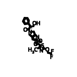 Cc1nc(OCC(F)F)sc1S(=O)(=O)n1cc2c(n1)CN(C(=O)[C@H](CO)c1ccccc1)C2